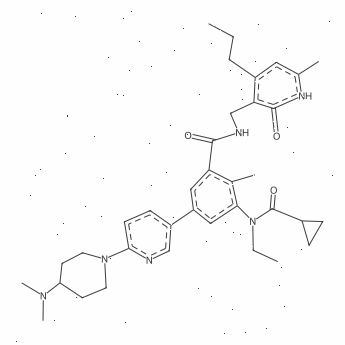 CCCc1cc(C)[nH]c(=O)c1CNC(=O)c1cc(-c2ccc(N3CCC(N(C)C)CC3)nc2)cc(N(CC)C(=O)C2CC2)c1C